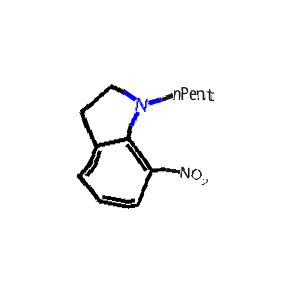 CCCCCN1CCc2cccc([N+](=O)[O-])c21